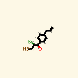 C=CCc1ccc(C(=O)C(Br)CS)cc1